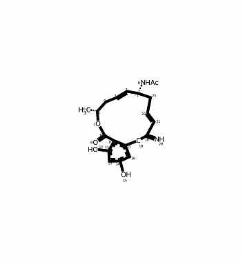 CC(=O)N[C@H]1/C=C/C[C@@H](C)OC(=O)c2c(O)cc(O)cc2CC(=N)/C=C/C1